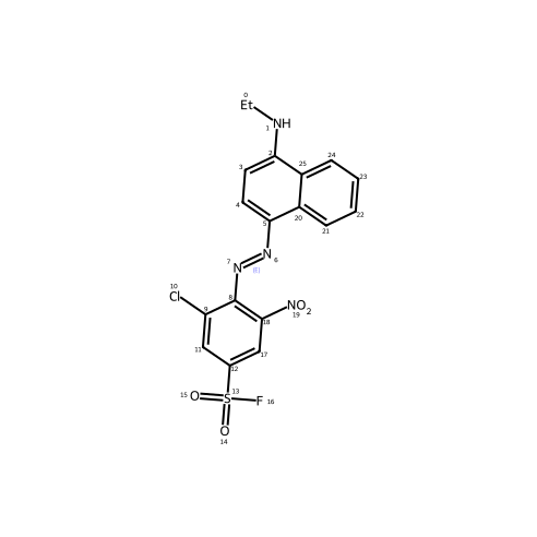 CCNc1ccc(/N=N/c2c(Cl)cc(S(=O)(=O)F)cc2[N+](=O)[O-])c2ccccc12